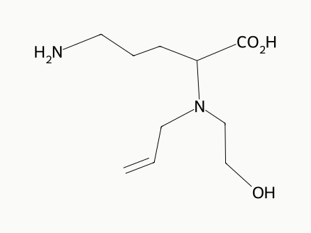 C=CCN(CCO)C(CCCN)C(=O)O